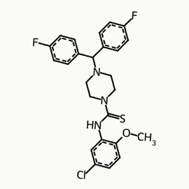 COc1ccc(Cl)cc1NC(=S)N1CCN(C(c2ccc(F)cc2)c2ccc(F)cc2)CC1